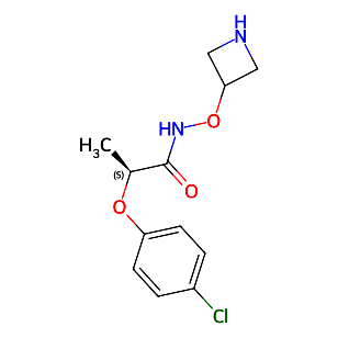 C[C@H](Oc1ccc(Cl)cc1)C(=O)NOC1CNC1